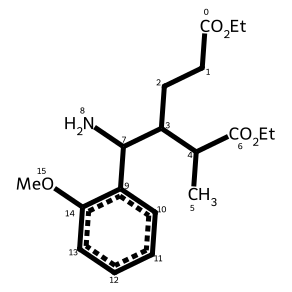 CCOC(=O)CCC(C(C)C(=O)OCC)C(N)c1ccccc1OC